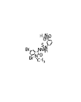 CCN1C(=O)C(=NNC(=S)Nc2cccc(S(N)(=O)=O)c2)c2cc(Br)cc(Br)c21